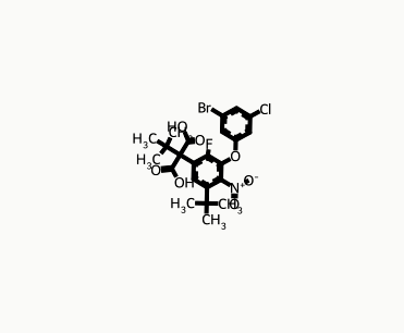 CC(C)(C)c1cc(C(C(=O)O)(C(=O)O)C(C)(C)C)c(F)c(Oc2cc(Cl)cc(Br)c2)c1[N+](=O)[O-]